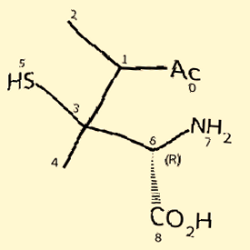 CC(=O)C(C)C(C)(S)[C@H](N)C(=O)O